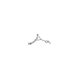 CC1P=P1=P